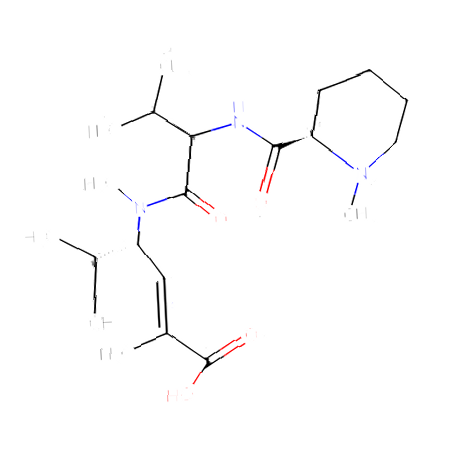 C/C(=C\[C@H](C(C)C)N(C)C(=O)C(NC(=O)[C@H]1CCCCN1C)C(C)C)C(=O)O